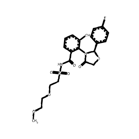 COCCOCCS(=O)(=O)NC(=O)c1cccc(C)c1N1C(=O)CSC1c1ccc(F)cc1